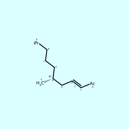 CC(=O)/C=C/C[C@H](C)CCCC(C)C